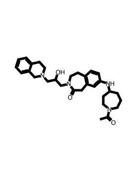 CC(=O)N1CCCC(Nc2ccc3c(c2)CC(=O)N(CC(O)CN2CCc4ccccc4C2)CC3)CC1